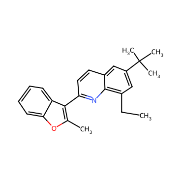 CCc1cc(C(C)(C)C)cc2ccc(-c3c(C)oc4ccccc34)nc12